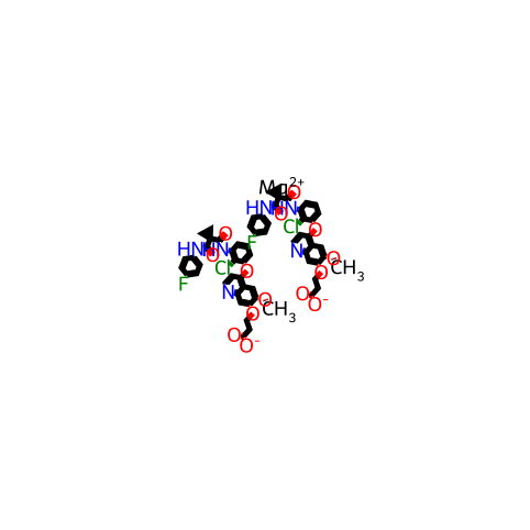 COc1cc2c(Oc3cccc(NC(=O)C4(C(=O)Nc5ccc(F)cc5)CC4)c3Cl)ccnc2cc1OCCC(=O)[O-].COc1cc2c(Oc3cccc(NC(=O)C4(C(=O)Nc5ccc(F)cc5)CC4)c3Cl)ccnc2cc1OCCC(=O)[O-].[Mg+2]